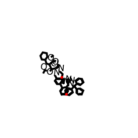 CCCCc1nc(Cl)c(C(OC(C)=O)C(CC2CCCCC2)C(=O)OC)n1Cc1ccc(-c2ccccc2-c2nnnn2C(c2ccccc2)(c2ccccc2)c2ccccc2)cc1